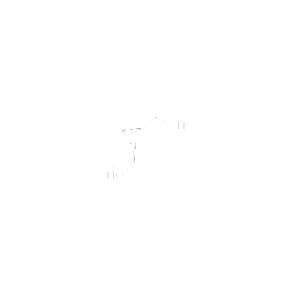 OCC1CN1CO